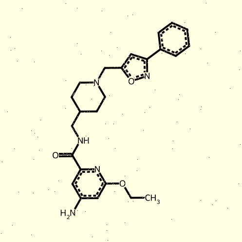 CCOc1cc(N)cc(C(=O)NCC2CCN(Cc3cc(-c4ccccc4)no3)CC2)n1